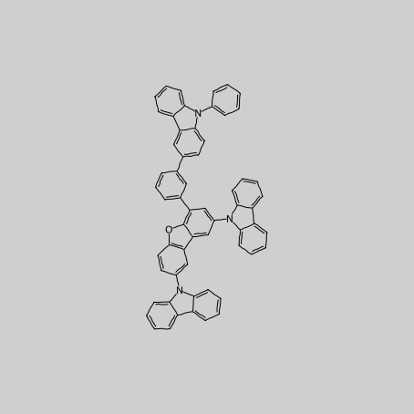 c1ccc(-n2c3ccccc3c3cc(-c4cccc(-c5cc(-n6c7ccccc7c7ccccc76)cc6c5oc5ccc(-n7c8ccccc8c8ccccc87)cc56)c4)ccc32)cc1